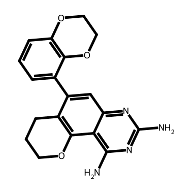 Nc1nc(N)c2c3c(c(-c4cccc5c4OCCO5)cc2n1)CCCO3